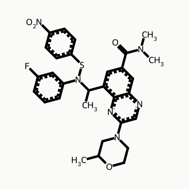 CC1CN(c2cnc3cc(C(=O)N(C)C)cc(C(C)N(Sc4ccc([N+](=O)[O-])cc4)c4cccc(F)c4)c3n2)CCO1